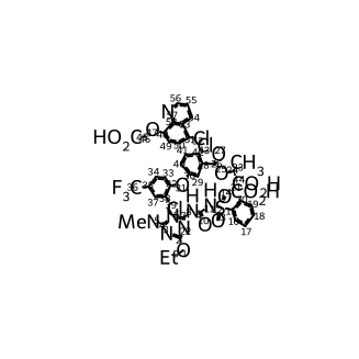 CCOc1nc(NC)nc(NC(=O)NS(=O)(=O)c2ccccc2C(=O)O)n1.C[C@H](OC(=O)c1cc(Oc2ccc(C(F)(F)F)cc2Cl)ccc1Cl)C(=O)O.O=C(O)COc1ccc(Cl)c2cccnc12